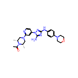 CC(=O)N1[C@H](C)CN(c2cc(-n3nc(Nc4ccc(N5CCOCC5)cc4)nc3N)ccn2)C[C@@H]1C